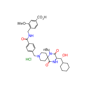 CCCCN1C(=O)[C@@H]([C@H](O)C2CCCCC2)NC(=O)C12CCN(Cc1ccc(C(=O)NCc3ccc(C(=O)O)cc3OC)cc1)CC2.Cl